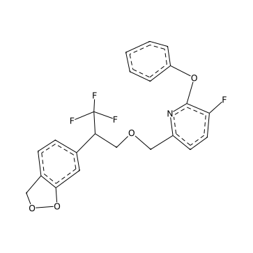 Fc1ccc(COCC(c2ccc3c(c2)OOC3)C(F)(F)F)nc1Oc1ccccc1